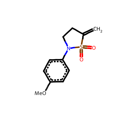 C=C1CCN(c2ccc(OC)cc2)S1(=O)=O